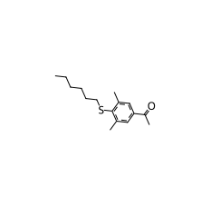 CCCCCCSc1c(C)cc(C(C)=O)cc1C